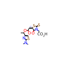 CC(OC(=O)/C=C1/SC(=S)N(CC(=O)O)C1=O)c1csc(N(C)C)n1